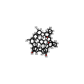 Cc1ccc2c(c1)c1cc(C)ccc1n2-c1c(-c2ccccn2)c(-n2c3ccc(C)cc3c3cc(C)ccc32)c(-n2c3ccc(C)cc3c3cc(C)ccc32)c(-n2c3ccc(C)cc3c3cc(C)ccc32)c1-c1nc(-c2ccccc2)cc(-c2ccccc2)n1